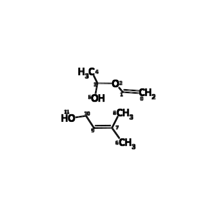 C=COC(C)O.CC(C)=CCO